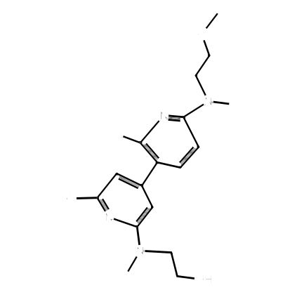 COCCN(C)c1ccc(-c2[c]c(Cl)nc(N(C)CCO)c2)c(Cl)n1